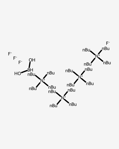 CCCC[N+](CCCC)(CCCC)CCCC.CCCC[N+](CCCC)(CCCC)CCCC.CCCC[N+](CCCC)(CCCC)CCCC.CCCC[N+](CCCC)(CCCC)CCCC.OBO.[F-].[F-].[F-].[F-]